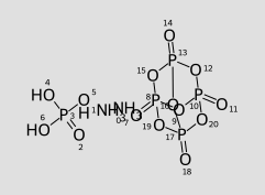 N.N.O=P(O)(O)O.O=P12OP3(=O)OP(=O)(O1)OP(=O)(O2)O3